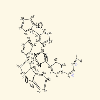 C/C=C\C=C/C1=CC=C(c2nc(-c3ccc4oc5ccccc5c4c3)nc(-c3c(-c4ccccc4)ccc4oc5ccccc5c34)n2)CC1